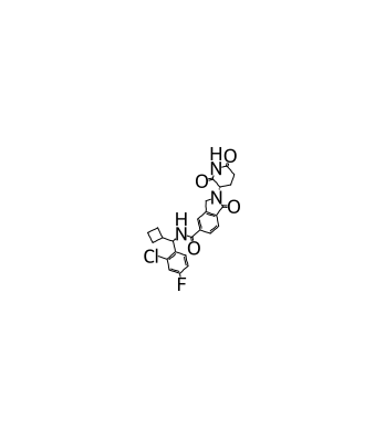 O=C1CC[C@H](N2Cc3cc(C(=O)N[C@@H](c4ccc(F)cc4Cl)C4CCC4)ccc3C2=O)C(=O)N1